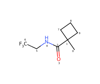 CC1(C(=O)NCC(F)(F)F)CCC1